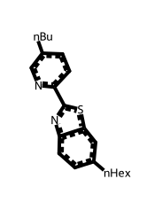 CCCCCCc1ccc2nc(-c3ccc(CCCC)cn3)sc2c1